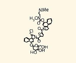 CNCCN(C)C(=O)Oc1cc2c(c3ccccc13)CCN2C(=O)c1ccc(C(=O)N2C[C@@H](CCl)c3c2cc(O[C@H]2CC(O)[C@@H](O)[C@@H](CO)O2)c2ccccc32)s1